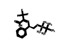 CC(C)(C)[Si](C)(C)OC[C@H](N=C(C(=O)O)C(F)(F)F)c1ccccc1